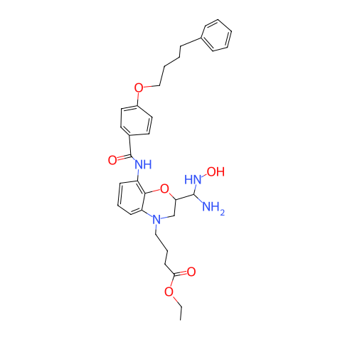 CCOC(=O)CCCN1CC(C(N)NO)Oc2c(NC(=O)c3ccc(OCCCCc4ccccc4)cc3)cccc21